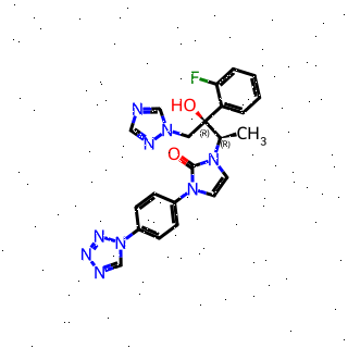 C[C@@H](n1ccn(-c2ccc(-n3cnnn3)cc2)c1=O)[C@](O)(Cn1cncn1)c1ccccc1F